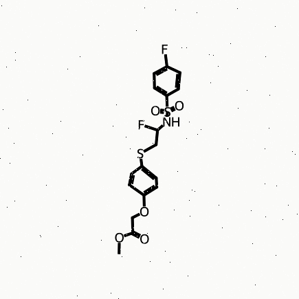 COC(=O)COc1ccc(SCC(F)NS(=O)(=O)c2ccc(F)cc2)cc1